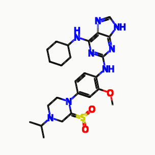 COc1cc(N2CCN(C(C)C)CC2=S(=O)=O)ccc1Nc1nc(NC2CCCCC2)c2nc[nH]c2n1